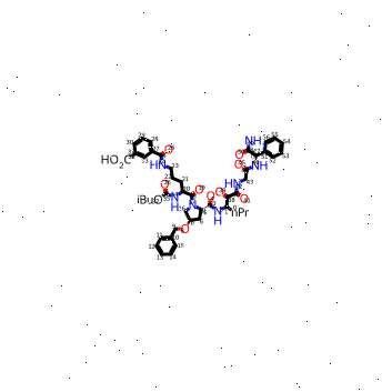 CCCC(NC(=O)[C@@H]1C[C@@H](OCc2ccccc2)CN1C(=O)C(CCCNC(=O)c1cccc(C(=O)O)c1)NC(=O)OCC(C)C)C(=O)C(=O)NCC(=O)N[C@H](C(N)=O)c1ccccc1